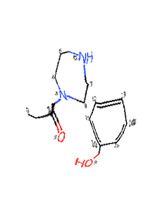 CC(=O)N1CCNCC1.Oc1ccccc1